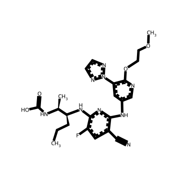 CCC[C@H](Nc1nc(Nc2cnc(OCCOC)c(-n3nccn3)c2)c(C#N)cc1F)[C@H](C)NC(=O)O